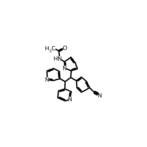 CC(=O)Nc1cccc(C(c2ccc(C#N)cc2)C(c2cccnc2)c2cccnc2)n1